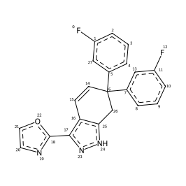 Fc1cccc(C2(c3cccc(F)c3)C=Cc3c(-c4ncco4)n[nH]c3C2)c1